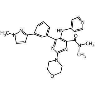 CN(C)C(=O)c1nc(N2CCOCC2)nc(-c2cccc(-c3ccn(C)n3)c2)c1Nc1ccncc1